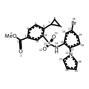 COC(=O)c1ccc(C2CC2)c(S(=O)(=O)Nc2cc(Br)ccc2-n2cccc2)c1